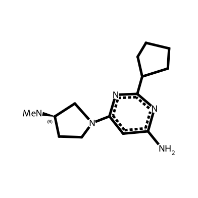 CN[C@@H]1CCN(c2cc(N)nc(C3CCCC3)n2)C1